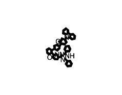 C1=c2oc3cccc(-c4ccc5c(c4)oc4cc(-n6c7ccccc7c7ccccc76)ccc45)c3c2=CC(C2N=C(c3ccccc3)NC(c3ccccc3)N2)C1